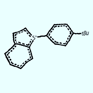 CC(C)(C)c1ccc(-[s+]2ccc3ccccc32)cc1